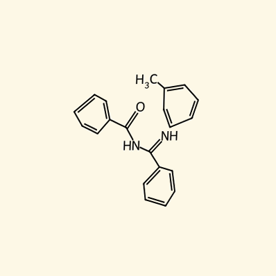 Cc1ccccc1.N=C(NC(=O)c1ccccc1)c1ccccc1